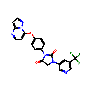 O=C1CN(c2cncc(C(F)(F)F)c2)C(=O)N1c1ccc(Oc2ccnc3ccnn23)cc1